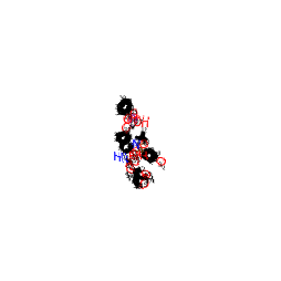 COc1ccc(S(=O)(=O)N(CC(C)C)C[C@@H](O)[C@H](Cc2ccc(OCP(=O)(O)Oc3ccccc3)cc2)NC(=O)O[C@H]2CO[C@H]3OCC[C@H]32)cc1